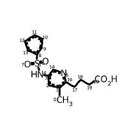 Cc1cc(NS(=O)(=O)c2ccccc2)cnc1CCCC(=O)O